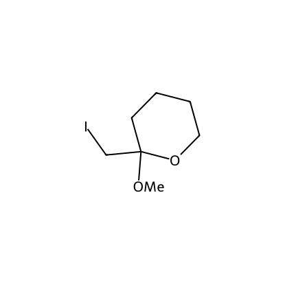 COC1(CI)CCCCO1